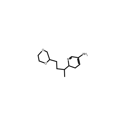 CC(CCC1COCCO1)C1CC=C(N)C=N1